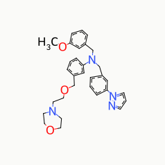 COc1cccc(CN(Cc2cccc(-n3cccn3)c2)c2cccc(COCCN3CCOCC3)c2)c1